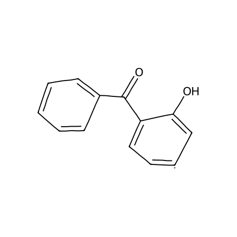 O=C(c1ccccc1)c1cc[c]cc1O